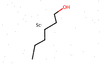 CCCCCCO.[Sc]